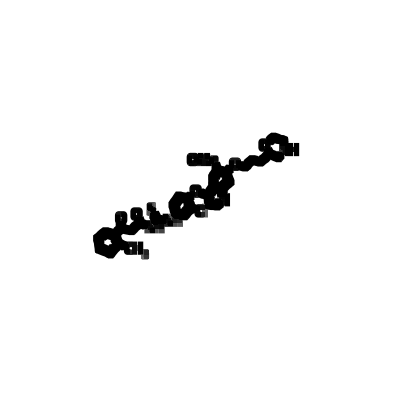 COc1cc2c(Oc3ccc(NC(=S)NC(=O)CC(=O)c4ccccc4C)cc3Cl)ccnc2cc1OCCCC1CNCCO1